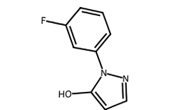 Oc1ccnn1-c1cccc(F)c1